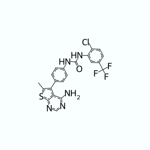 Cc1sc2ncnc(N)c2c1-c1ccc(NC(=O)Nc2cc(C(F)(F)F)ccc2Cl)cc1